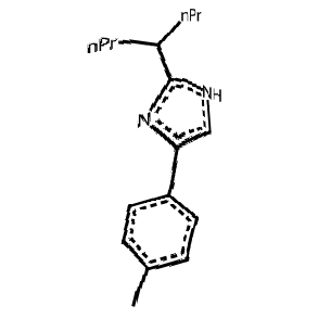 CCCC(CCC)c1nc(-c2ccc(C)cc2)c[nH]1